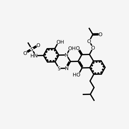 CC(=O)OOC1C(=O)C(C2=NSc3cc(NS(C)(=O)=O)cc(O)c3N2O)=C(O)c2c(CCC(C)C)cccc21